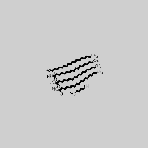 CCCCCCCCCCCCCCCCCC(=O)O.CCCCCCCCCCCCCCCCCC(=O)O.CCCCCCCCCCCCCCCCCC(=O)O.CCCCCCCCCCCCCCCCCC(=O)O.CCCCCO